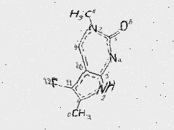 Cc1[nH]c2nc(=O)n(C)cc2c1F